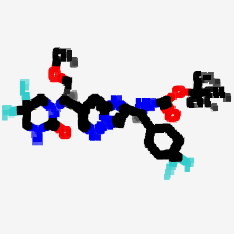 COC[C@H](c1cnn2cc([C@@H](NC(=O)OC(C)(C)C)C3CCC(F)(F)CC3)nc2c1)N1CC(F)(F)CNC1=O